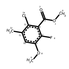 COC(=O)c1c(F)c(OC)cc(C)c1Cl